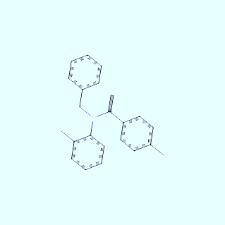 C=C(c1ccc(C)cc1)N(Cc1ccccc1)c1ccccc1C